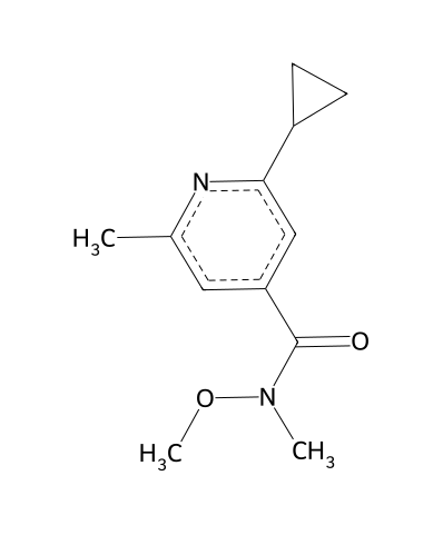 CON(C)C(=O)c1cc(C)nc(C2CC2)c1